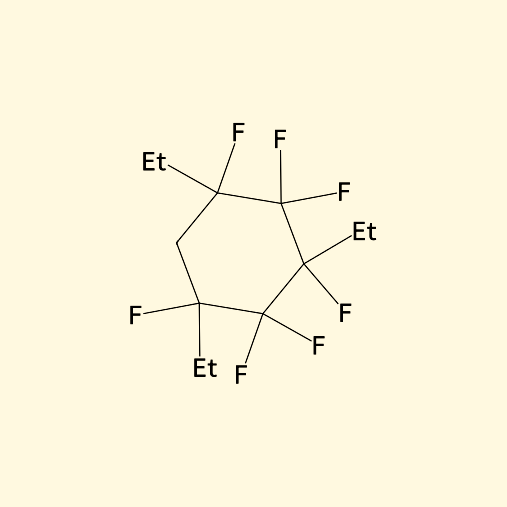 CCC1(F)CC(F)(CC)C(F)(F)C(F)(CC)C1(F)F